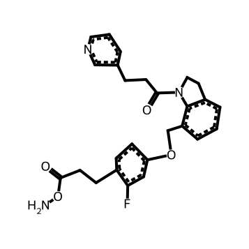 NOC(=O)CCc1ccc(OCc2cccc3c2N(C(=O)CCc2cccnc2)CC3)cc1F